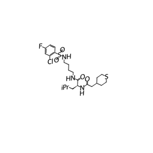 CC(C)C[C@H](NC(=O)CC1CCSCC1)C(=O)NCCCCNS(=O)(=O)c1ccc(F)cc1Cl